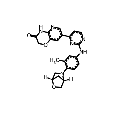 Cc1cc(Nc2nccc(-c3cnc4c(c3)OCC(=O)N4)n2)ccc1N1C[C@@H]2C[C@H]1CO2